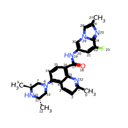 Cc1ccc2c(N3C[C@H](C)N[C@@H](C)C3)ccc(C(=O)Nc3cc(F)c4nc(C)cn4c3)c2n1